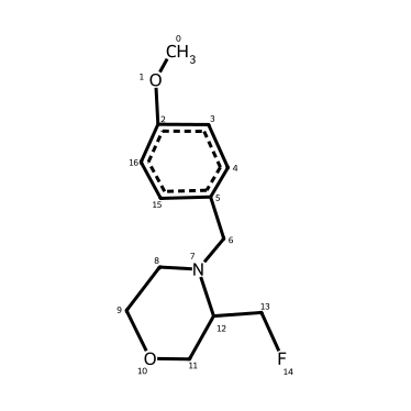 COc1ccc(CN2CCOCC2CF)cc1